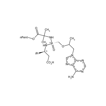 CCCCCOC(=O)C(C)(C)N[P@](=O)(COC(C)Cn1cnc2c(N)ncnc21)N[C@@H](CC(=O)O)C(C)C